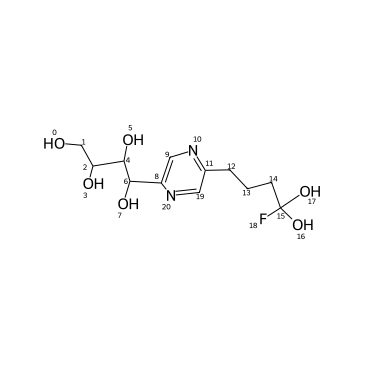 OCC(O)C(O)C(O)c1cnc(CCCC(O)(O)F)cn1